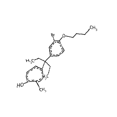 CCCCOc1ccc(C(CC)(CC)c2ccc(O)c(C)c2)cc1Br